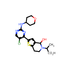 CC(C(=O)O)N1CCc2sc(-c3nc(NC4CCOCC4)ncc3Cl)cc2C1O